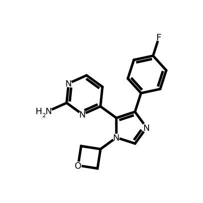 Nc1nccc(-c2c(-c3ccc(F)cc3)ncn2C2COC2)n1